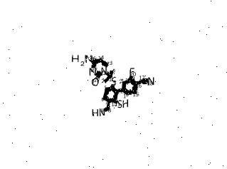 CC(C)(Sc1ccc(C=N)c(S)c1-c1ccc(C#N)c(F)c1)n1ccc(N)nc1=O